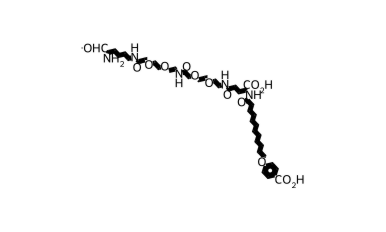 N[C@H]([C]=O)CCCCNC(=O)COCCOCCNC(=O)COCCOCCNC(=O)CC[C@H](NC(=O)CCCCCCCCCCCOc1ccc(C(=O)O)cc1)C(=O)O